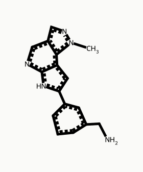 Cn1ncc2cnc3[nH]c(-c4cccc(CN)c4)cc3c21